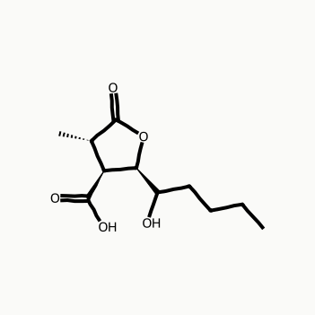 CCCCC(O)[C@@H]1OC(=O)[C@@H](C)[C@@H]1C(=O)O